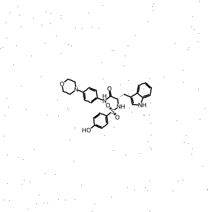 O=C(Nc1ccc(N2CCOCC2)cc1)[C@H](Cc1c[nH]c2ccccc12)NS(=O)(=O)c1ccc(O)cc1